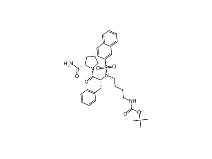 CC(C)(C)OC(=O)NCCCCN([C@H](Cc1ccccc1)C(=O)N1CCC[C@H]1C(N)=O)S(=O)(=O)c1ccc2ccccc2c1